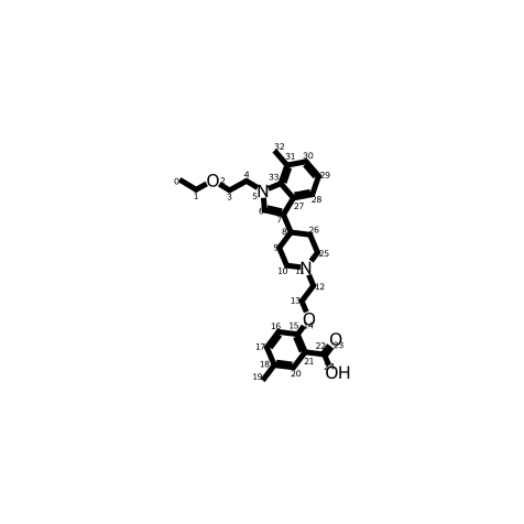 CCOCCn1cc(C2CCN(CCOc3ccc(C)cc3C(=O)O)CC2)c2cccc(C)c21